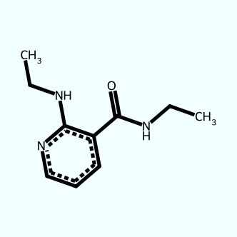 CCNC(=O)c1cccnc1NCC